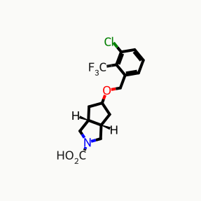 O=C(O)N1C[C@H]2CC(OCc3cccc(Cl)c3C(F)(F)F)C[C@H]2C1